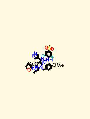 COc1ccc(CN(c2cc(C)n(C3CCCCO3)n2)c2nc(Nc3c(F)cc(S(C)(=O)=O)cc3F)nc(-c3cnn(C)c3)c2OC)cc1